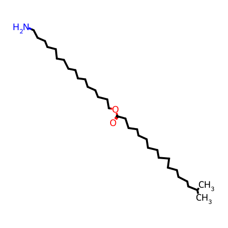 CC(C)CCCCCCCCCCCCCCC(=O)OCCCCCCCCCCCCCCCCN